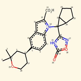 CC1(C)C[C@@H](c2ccc3c(c2)cc(C(=O)O)n3C2(c3noc(=O)[nH]3)C3CCCC32)CCO1